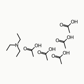 CC(=O)O.CC(=O)O.CC(=O)O.CC(=O)O.CC(=O)O.CCN(CC)CC